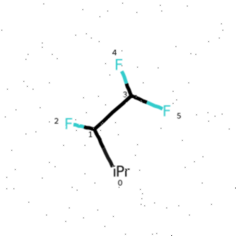 CC(C)C(F)[C](F)F